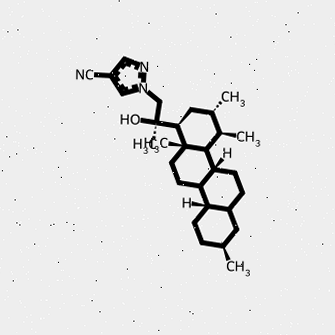 C[C@H]1CC[C@H]2C(CC[C@@H]3C2CC[C@@]2(C)C3[C@H](C)[C@@H](C)C[C@@H]2[C@@](C)(O)Cn2cc(C#N)cn2)C1